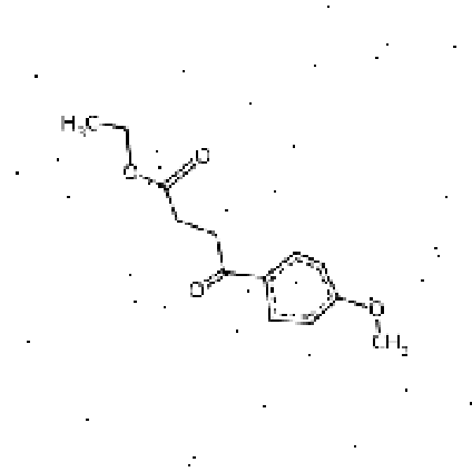 CCOC(=O)CCC(=O)c1ccc(OC)cc1